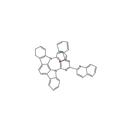 C1=Cc2c(c3ccc4c5ccccc5n(-c5nc(-c6ccccc6)nc(-c6ccc7ccccc7n6)n5)c4c3n2-c2ccccc2)CC1